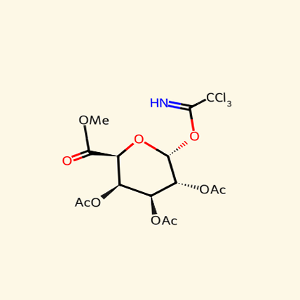 COC(=O)[C@H]1O[C@H](OC(=N)C(Cl)(Cl)Cl)[C@H](OC(C)=O)[C@@H](OC(C)=O)[C@H]1OC(C)=O